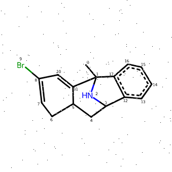 CC12NC(CC3CC=C(Br)C=C31)c1ccccc12